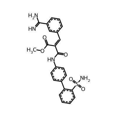 COC(=O)C(=Cc1cccc(C(=N)N)c1)C(=O)Nc1ccc(-c2ccccc2S(N)(=O)=O)cc1